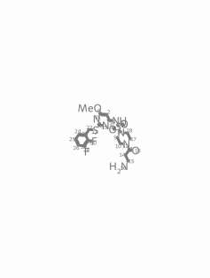 COc1cc(NS(=O)(=O)N2CCN(C(=O)CCN)CC2)nc(SCc2cccc(F)c2F)n1